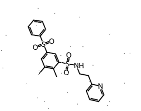 Cc1cc(S(=O)(=O)c2ccccc2)cc(S(=O)(=O)NCCc2ccccn2)c1C